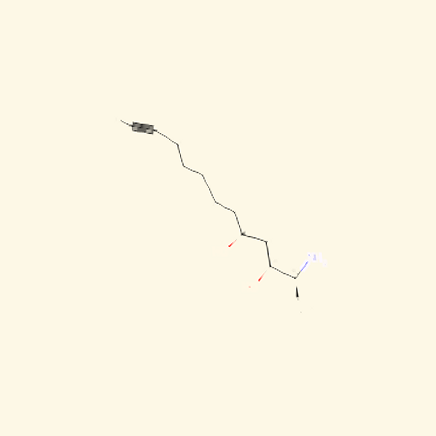 CCCCCCC#CCCCCC[C@H](O)C[C@H](O)[C@H](C)N